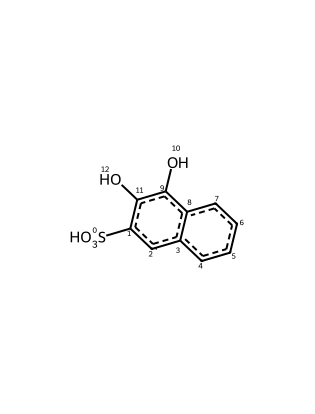 O=S(=O)(O)c1[c]c2ccccc2c(O)c1O